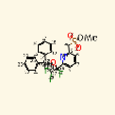 COS(=O)(=O)Cc1cccc(C(F)(O[Si](c2ccccc2)(c2ccccc2)C(C)(C)C)C(F)F)n1